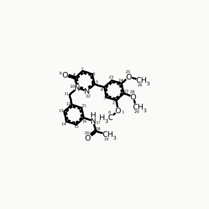 COc1cc(-c2ccc(=O)n(Cc3cccc(NC(C)=O)c3)n2)cc(OC)c1OC